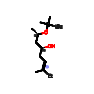 CC/C(C)=C/C[C@@H](O)C[C@H](C)O[Si](C)(C)C(C)(C)C